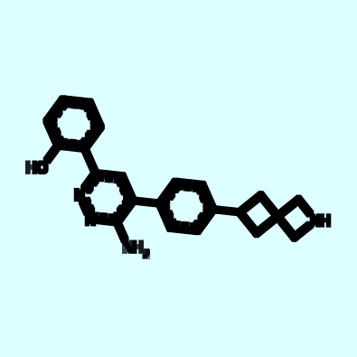 Nc1nnc(-c2ccccc2O)cc1-c1ccc(C2CC3(CNC3)C2)cc1